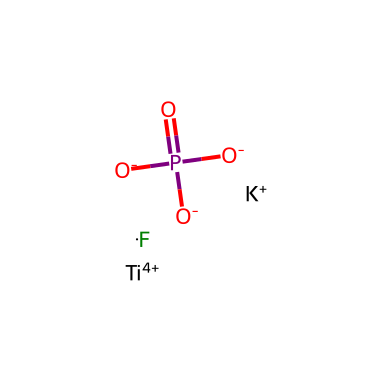 O=P([O-])([O-])[O-].[F].[K+].[Ti+4]